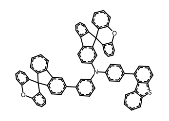 c1cc(-c2ccc3c(c2)-c2ccccc2C32c3ccccc3Oc3ccccc32)cc(N(c2ccc(-c3cccc4sc5ccccc5c34)cc2)c2ccc3c(c2)C2(c4ccccc4Oc4ccccc42)c2ccccc2-3)c1